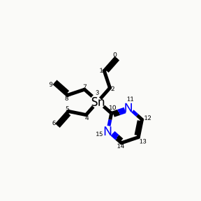 C=C[CH2][Sn]([CH2]C=C)([CH2]C=C)[c]1ncccn1